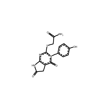 NC(=O)CSc1nc2c(c(=O)n1-c1ccc(O)cc1)CC(=O)N2